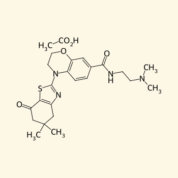 CC(=O)O.CN(C)CCNC(=O)c1ccc2c(c1)OCCN2c1nc2c(s1)C(=O)CC(C)(C)C2